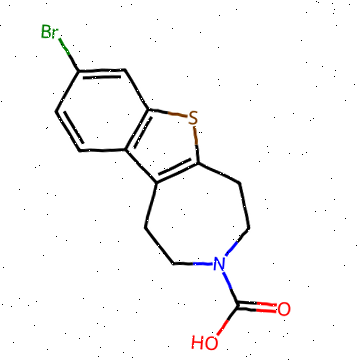 O=C(O)N1CCc2sc3cc(Br)ccc3c2CC1